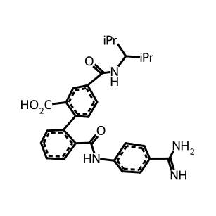 CC(C)C(NC(=O)c1ccc(-c2ccccc2C(=O)Nc2ccc(C(=N)N)cc2)c(C(=O)O)c1)C(C)C